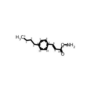 CCCCc1ccc(C=CC(=O)ON)cc1